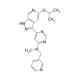 CC(C)Oc1cc2c(-c3cc(N(C)Cc4cccnc4)ncn3)n[nH]c2cn1